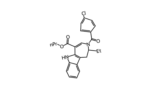 CCCOC(=O)C1=CN(C(=O)c2ccc(Cl)cc2)C(CC)Cc2c1[nH]c1ccccc21